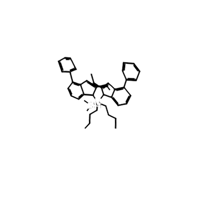 CCC[CH2][V]([CH2]CCC)([CH]1C(CC)=Cc2c(-c3ccccc3)cccc21)([CH]1C(CC)=Cc2c(-c3ccccc3)cccc21)[SiH](C)C